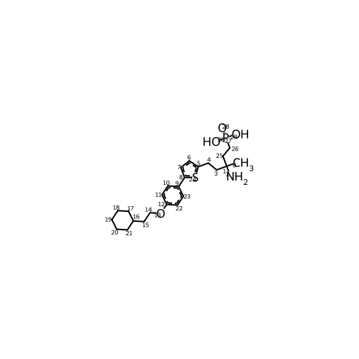 CC(N)(CCc1ccc(-c2ccc(OCCC3CCCCC3)cc2)s1)CCP(=O)(O)O